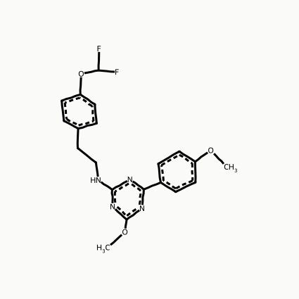 COc1ccc(-c2nc(NCCc3ccc(OC(F)F)cc3)nc(OC)n2)cc1